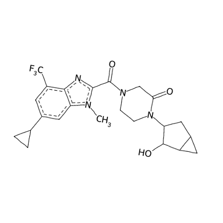 Cn1c(C(=O)N2CCN(C3CC4CC4C3O)C(=O)C2)nc2c(C(F)(F)F)cc(C3CC3)cc21